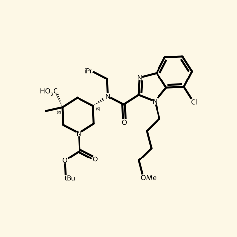 COCCCCn1c(C(=O)N(CC(C)C)[C@@H]2CN(C(=O)OC(C)(C)C)C[C@](C)(C(=O)O)C2)nc2cccc(Cl)c21